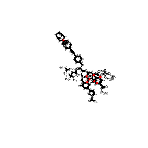 COC(=O)N[C@H](C(=O)N[C@@H](Cc1ccc(C#Cc2cnc(N3CC4CCC(C3)N4C3COC3)nc2)cc1)[C@H](CN(Cc1c(F)cc(-c2ccn(C(F)F)n2)cc1F)NC(=O)[C@@H](NC(=O)OC)C(C)(C)C(F)(F)F)OC(=O)CC(C)(C)c1c(C)cc(C(=O)OC(C)(C)C)cc1OP(=O)(OC(C)(C)C)OC(C)(C)C)C(C)(C)C(F)(F)F